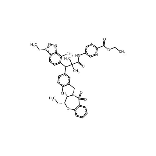 CCOC(=O)c1ncc(NC(=O)C(C)(C)C(c2ccc(C)c(CN3C[C@@H](CC)Oc4ccccc4S3(=O)=O)c2)c2ccc3c(nnn3CC)c2C)cn1